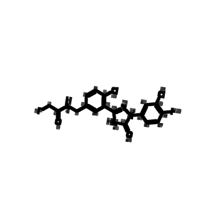 O=C(CF)NCc1ccc(Cl)c(-c2nn(-c3ccc(F)c(Cl)c3)c(=O)[nH]2)c1